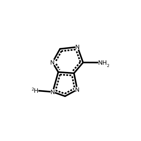 [2H]n1cnc2c(N)ncnc21